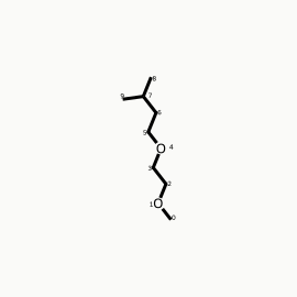 COCCOCCC(C)C